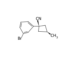 C[C@H]1C[C@](C#N)(c2cccc(Br)c2)C1